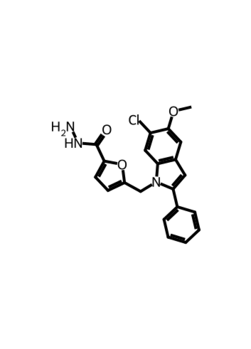 COc1cc2cc(-c3ccccc3)n(Cc3ccc(C(=O)NN)o3)c2cc1Cl